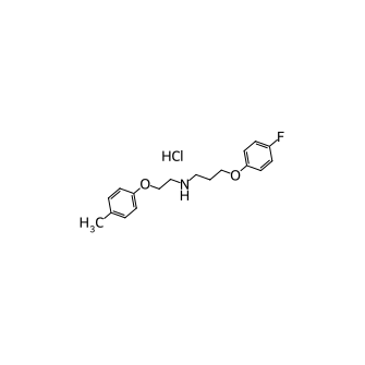 Cc1ccc(OCCNCCCOc2ccc(F)cc2)cc1.Cl